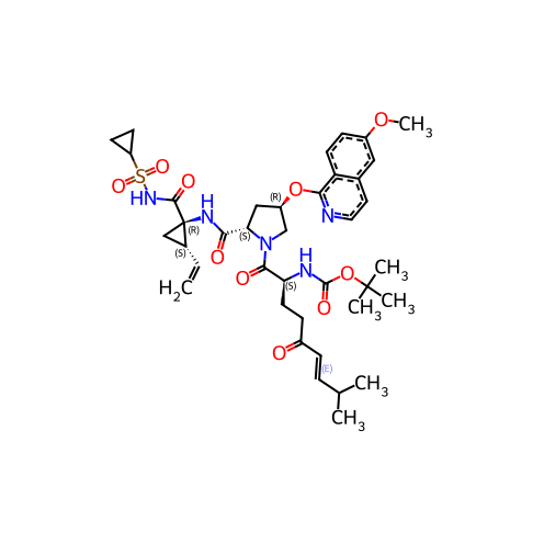 C=C[C@@H]1C[C@]1(NC(=O)[C@@H]1C[C@@H](Oc2nccc3cc(OC)ccc23)CN1C(=O)[C@H](CCC(=O)/C=C/C(C)C)NC(=O)OC(C)(C)C)C(=O)NS(=O)(=O)C1CC1